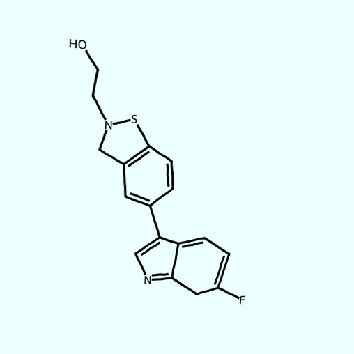 OCCN1Cc2cc(C3=CN=C4CC(F)=CC=C34)ccc2S1